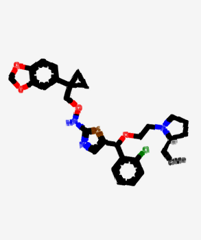 COC[C@@H]1CCCN1CCOC(c1cnc(NOCC2(c3ccc4c(c3)OCO4)CC2)s1)c1ccccc1Cl